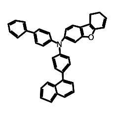 C1=Cc2oc3cc(N(c4ccc(-c5ccccc5)cc4)c4ccc(-c5cccc6ccccc56)cc4)ccc3c2CC1